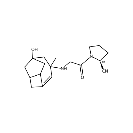 CC1(NCC(=O)N2CCC[C@H]2C#N)C=C2CC3CC(O)(CC23)C1